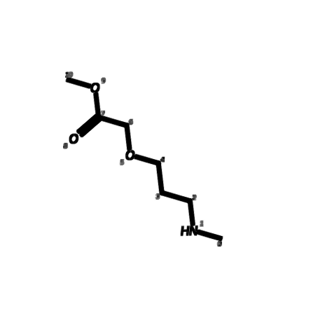 CNCCCOCC(=O)OC